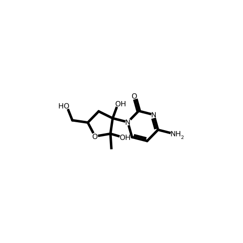 CC1(O)OC(CO)CC1(O)n1ccc(N)nc1=O